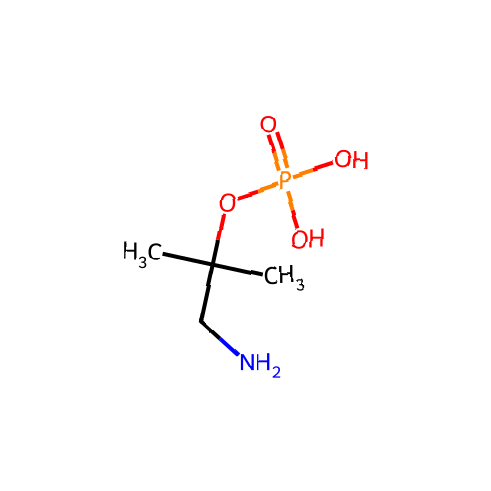 CC(C)(CN)OP(=O)(O)O